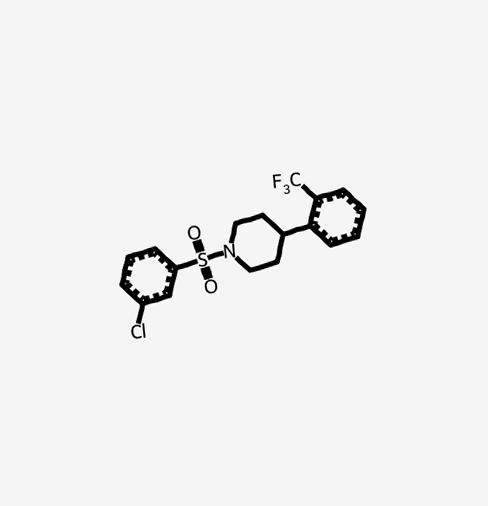 O=S(=O)(c1cccc(Cl)c1)N1CCC(c2ccccc2C(F)(F)F)CC1